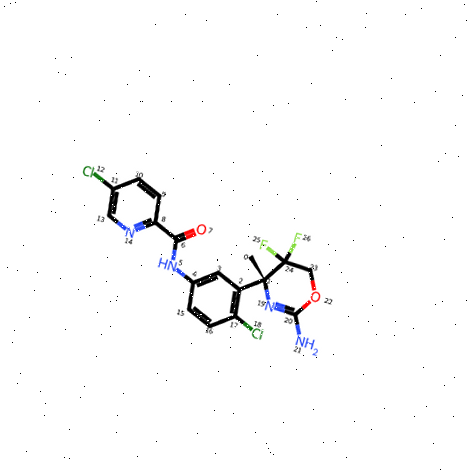 C[C@]1(c2cc(NC(=O)c3ccc(Cl)cn3)ccc2Cl)N=C(N)OCC1(F)F